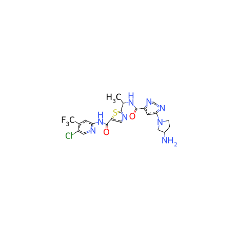 CC(NC(=O)c1cc(N2CCC(N)C2)ncn1)c1ncc(C(=O)Nc2cc(C(F)(F)F)c(Cl)cn2)s1